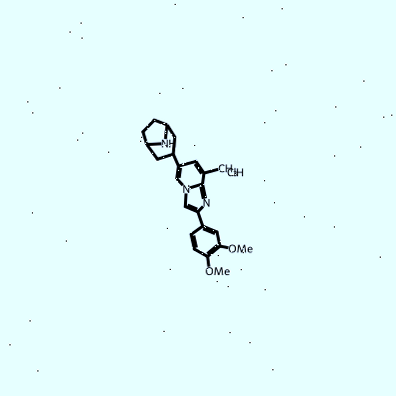 COc1ccc(-c2cn3cc(C4CC5CCC(C4)N5)cc(C)c3n2)cc1OC.Cl